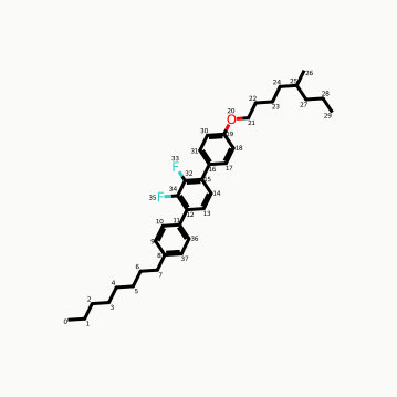 CCCCCCCCc1ccc(-c2ccc(-c3ccc(OCCCCC(C)CCC)cc3)c(F)c2F)cc1